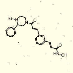 CCN1CCN(C(=O)C=Cc2cccc(C=CC(=O)NO)n2)CC1c1ccccc1